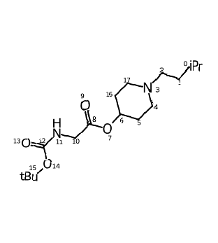 CC(C)CCN1CCC(OC(=O)CNC(=O)OC(C)(C)C)CC1